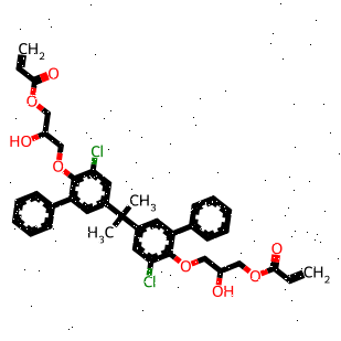 C=CC(=O)OCC(O)COc1c(Cl)cc(C(C)(C)c2cc(Cl)c(OCC(O)COC(=O)C=C)c(-c3ccccc3)c2)cc1-c1ccccc1